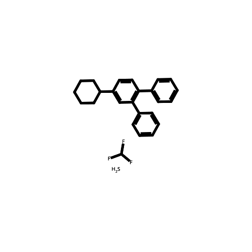 FC(F)F.S.c1ccc(-c2ccc(C3CCCCC3)cc2-c2ccccc2)cc1